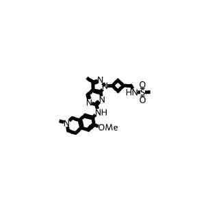 COc1cc2c(cc1Nc1ncc3c(C)nn(C4CC(CNS(C)(=O)=O)C4)c3n1)CN(C)CC2